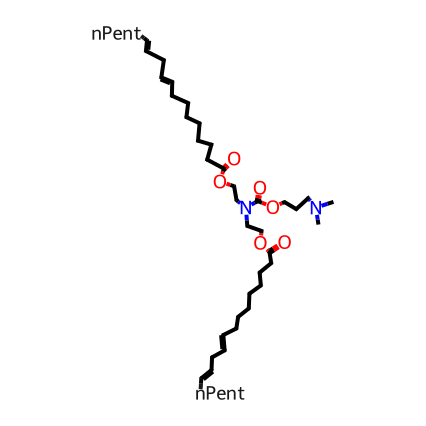 CCCCCC=CCC=CCCCCCCCC(=O)OCCN(CCOC(=O)CCCCCCCC=CCC=CCCCCC)C(=O)OCCCN(C)C